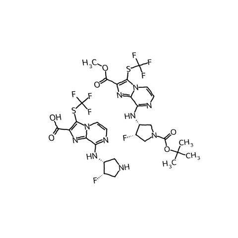 COC(=O)c1nc2c(N[C@@H]3CN(C(=O)OC(C)(C)C)C[C@@H]3F)nccn2c1SC(F)(F)F.O=C(O)c1nc2c(N[C@@H]3CNC[C@@H]3F)nccn2c1SC(F)(F)F